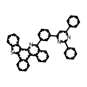 c1ccc(-c2cc(-c3cccc(-c4nc5c(c6ccccc46)c4ccccc4c4sc6ccccc6c54)c3)nc(-c3ccccc3)n2)cc1